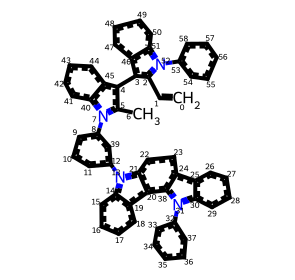 C=Cc1c(-c2c(C)n(-c3cccc(-n4c5ccccc5c5c4ccc4c6ccccc6n(-c6ccccc6)c45)c3)c3ccccc23)c2ccccc2n1-c1ccccc1